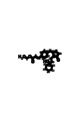 CCOC(=O)C=Cc1ccc(CC2SCC(=O)N2CCC2(O)CCCCC2)cc1